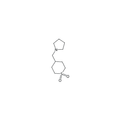 O=S1(=O)CCC(CN2CCCC2)CC1